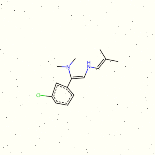 CC(C)=CN/C=C(/c1cccc(Cl)c1)N(C)C